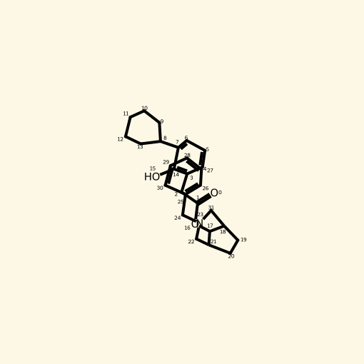 O=C(Cc1cccc(C2CCCCC2)c1O)OC1C2CCC1CN(Cc1ccccc1)C2